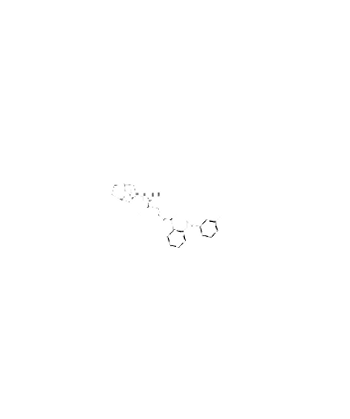 O=C(CNC(=O)c1ccccc1Nc1cccc(C(F)(F)F)c1)N[C@@H]1C[C@H]2CC[C@@H](C1)N2C(=O)O